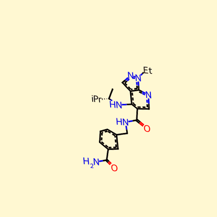 CCn1ncc2c(N[C@@H](C)C(C)C)c(C(=O)NCc3cccc(C(N)=O)c3)cnc21